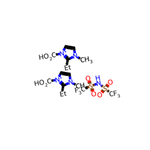 CCc1n(C)cc[n+]1C(=O)O.CCc1n(C)cc[n+]1C(=O)O.O=S(=O)(NS(=O)(=O)C(F)(F)F)C(F)(F)F